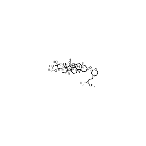 CO[C@@H]([C@H]1CC[C@H]2[C@H](O1)[C@H](O)[C@@]1(C)[C@@H]3CC[C@H]4C[C@@H](O[C@H]5CN(CCN(C)C)CCO5)CCC45C[C@@]35CC[C@]21C)C(C)(C)O